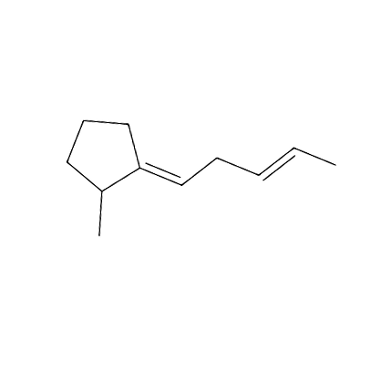 CC=CCC=C1CCCC1C